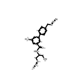 [N-]=[N+]=NCc1ccc(-c2cc(N)cc(C(=O)NC(CO)CN=[N+]=[N-])c2)cc1